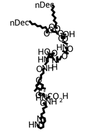 CCCCCCCCCCCCCCCCCC(=O)OCC(COP(=O)(O)OCCNC(=O)C(C)(C)OCCC(C)(C)NC1=C(NCCNC(=O)CCCOc2cc(C)c([S+]([O-])CNC(NC(=O)CCCCc3ccc4c(n3)NCCC4)C(=O)O)c(C)c2)[C@@H](O)C1=O)OC(=O)CCCCCCCCCCCCCCCCC